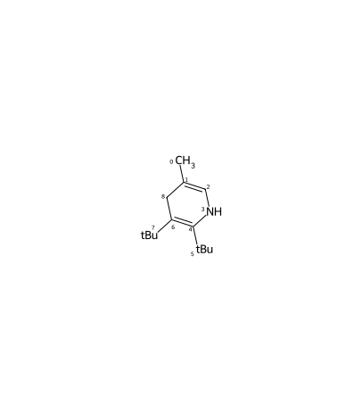 CC1=CNC(C(C)(C)C)=C(C(C)(C)C)C1